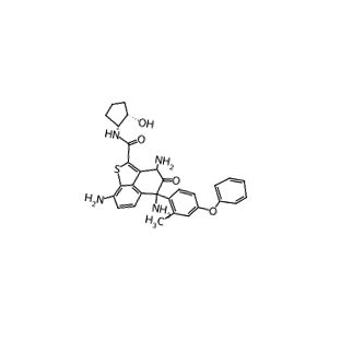 Cc1cc(Oc2ccccc2)ccc1C1(N)C(=O)C(N)c2c(C(=O)N[C@@H]3CCC[C@@H]3O)sc3c(N)ccc1c23